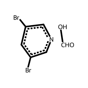 Brc1cncc(Br)c1.O=CO